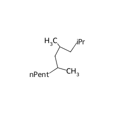 CCCCCC(C)CC(C)CC(C)C